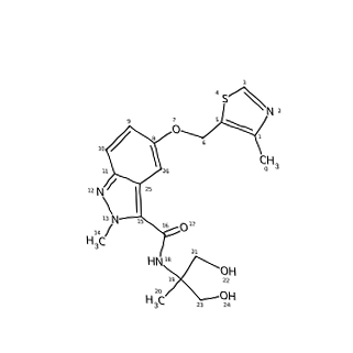 Cc1ncsc1COc1ccc2nn(C)c(C(=O)NC(C)(CO)CO)c2c1